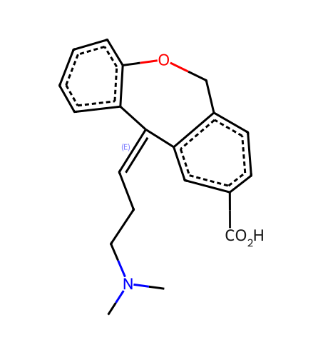 CN(C)CC/C=C1\c2cc(C(=O)O)ccc2COc2ccccc21